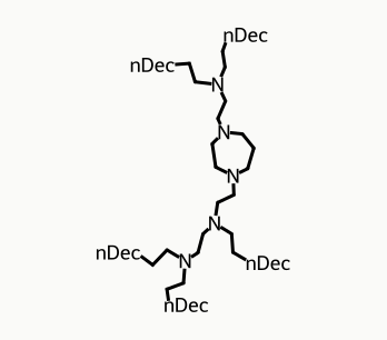 CCCCCCCCCCCCN(CCCCCCCCCCCC)CCN(CCCCCCCCCCCC)CCN1CCCN(CCN(CCCCCCCCCCCC)CCCCCCCCCCCC)CC1